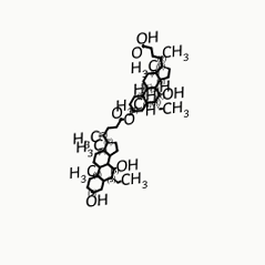 CC[C@H]1[C@@H](O)[C@@H]2[C@H](CC[C@]3(C)[C@@H]([C@H](C)CCC(=O)O)CC[C@@H]23)[C@@]2(C)CC[C@@H](OC(=O)CC[C@@H](C)[C@H]3CCC4C5C(CC[C@@]43C)[C@@]3(C)CC[C@H](O)CC3[C@H](CC)[C@@H]5O)C[C@@H]12